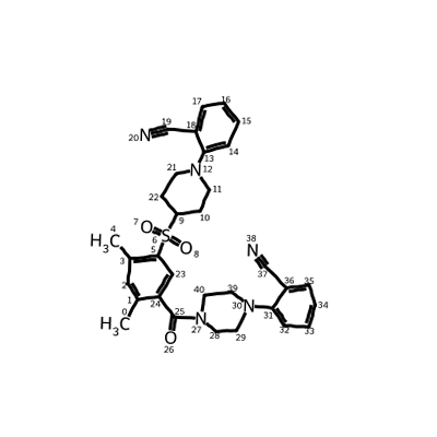 Cc1cc(C)c(S(=O)(=O)C2CCN(c3ccccc3C#N)CC2)cc1C(=O)N1CCN(c2ccccc2C#N)CC1